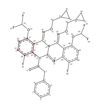 O=C(Cc1ccccc1)C(C(=O)N(C(=NOCC1CC1)c1c(OC(F)F)ccc(F)c1F)C(=NOCC1CC1)c1c(OC(F)F)ccc(F)c1F)c1ccccc1